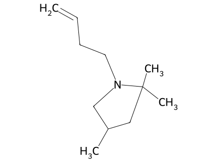 C=CCCN1CC(C)CC1(C)C